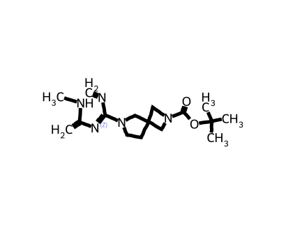 C=N/C(=N\C(=C)NC)N1CCC2(CN(C(=O)OC(C)(C)C)C2)C1